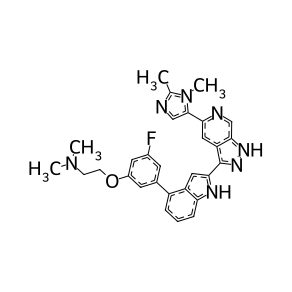 Cc1ncc(-c2cc3c(-c4cc5c(-c6cc(F)cc(OCCN(C)C)c6)cccc5[nH]4)n[nH]c3cn2)n1C